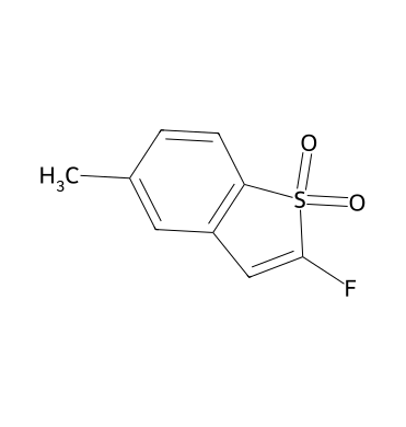 Cc1ccc2c(c1)C=C(F)S2(=O)=O